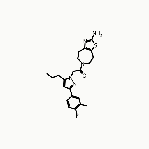 CCCc1cc(-c2ccc(F)c(C)c2)nn1CC(=O)N1CCc2nc(N)sc2CC1